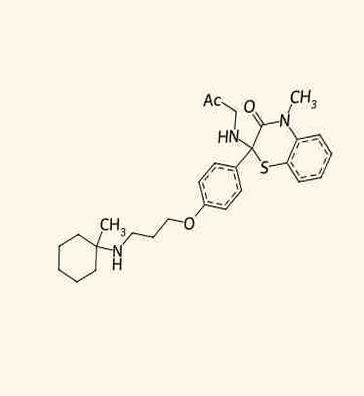 CC(=O)CNC1(c2ccc(OCCCNC3(C)CCCCC3)cc2)Sc2ccccc2N(C)C1=O